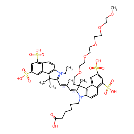 CC[N+]1=C(/C=C(C)/C=C2/N(CCCCCC(=O)O)c3ccc4c(S(=O)(=O)O)cc(S(=O)(=O)O)cc4c3C2(C)CCOCCOCCOCCOCCOC)C(C)(C)c2c1ccc1c(S(=O)(=O)O)cc(S(=O)(=O)O)cc21